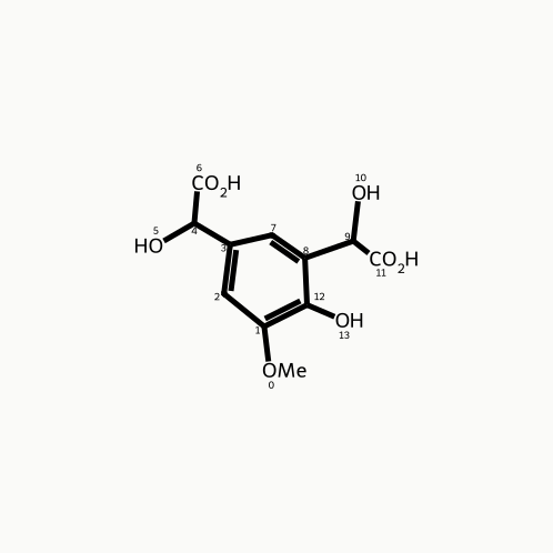 COc1cc(C(O)C(=O)O)cc(C(O)C(=O)O)c1O